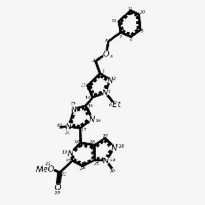 CCn1nc(COCc2ccccc2)cc1-c1nc(-c2nc(C(=O)OC)cc3c2cnn3C)n(C)n1